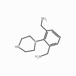 NCc1cccc(CN)c1N1CCNCC1